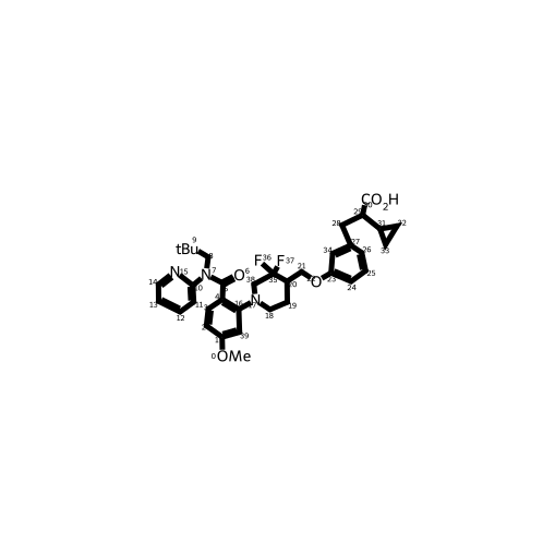 COc1ccc(C(=O)N(CC(C)(C)C)c2ccccn2)c(N2CCC(COc3cccc(CC(C(=O)O)C4CC4)c3)C(F)(F)C2)c1